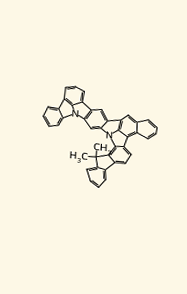 CC1(C)c2ccccc2-c2ccc3c4c5ccccc5cc5c6cc7c8cccc9c%10ccccc%10n(c7cc6n(c3c21)c54)c98